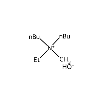 CCCC[N+](C)(CC)CCCC.[OH-]